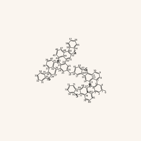 Cc1cc2c3c(c1)-c1cccc4c1c(cc1c5cc(Cc6cc7c8c(c6)-c6cc9sc%10ccccc%10c9c9cccc(c69)B8c6cccc8c6c-7cc6sc7ccccc7c68)ccc5sc41)B3c1cc3c4ccccc4sc3c3cccc-2c13